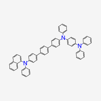 c1ccc(N(c2ccccc2)c2ccc(N(c3ccccc3)c3ccc(-c4ccc(-c5ccc(N(c6ccccc6)c6cccc7ccccc67)cc5)cc4)cc3)cc2)cc1